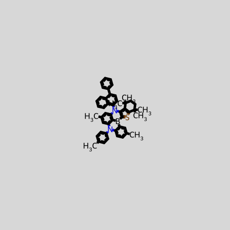 Cc1ccc(N2c3ccc(C)cc3B3c4sc5c(c4N(c4ccc(-c6ccccc6)c6ccccc46)c4cc(C)cc2c43)C(C)(C)CCC5(C)C)cc1